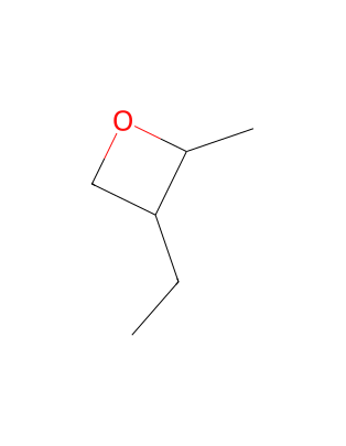 CCC1COC1C